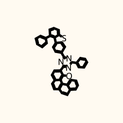 c1ccc(-c2nc(-c3ccc4c(c3)sc3cccc(-c5ccccc5)c34)nc(-c3ccc4ccc5ccc6cccc7c6c5c4c3O7)n2)cc1